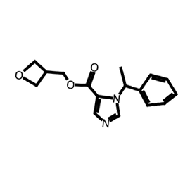 CC(c1ccccc1)n1cncc1C(=O)OCC1COC1